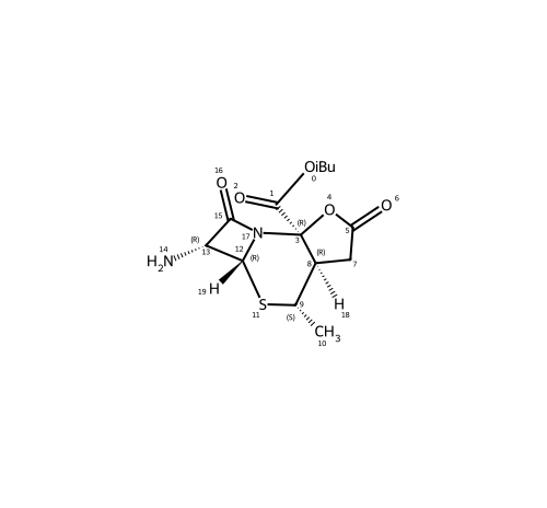 CC(C)COC(=O)[C@]12OC(=O)C[C@H]1[C@H](C)S[C@@H]1[C@H](N)C(=O)N12